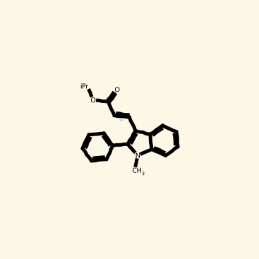 CC(C)OC(=O)/C=C/c1c(-c2ccccc2)n(C)c2ccccc12